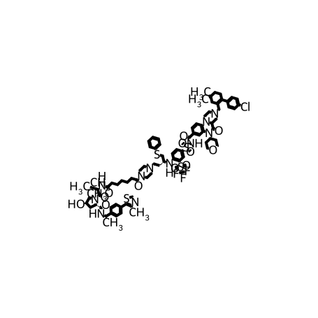 Cc1ncsc1-c1ccc([C@H](C)NC(=O)[C@@H]2C[C@@H](O)CN2C(=O)[C@@H](NC(=O)CCCCCC(=O)N2CCN(CC[C@H](CSc3ccccc3)Nc3ccc(S(=O)(=O)NC(=O)c4ccc5c(c4)N(C4CCOCC4)C(=O)C4CN(CC6=C(c7ccc(Cl)cc7)CCC(C)(C)C6)CCN54)cc3S(=O)(=O)C(F)(F)F)CC2)C(C)(C)C)cc1